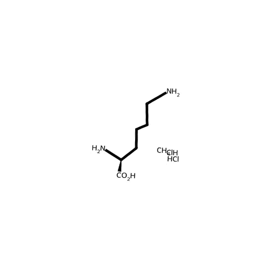 C.Cl.Cl.NCCCC[C@H](N)C(=O)O